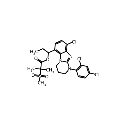 CCC(OC(=O)C(C)(C)S(C)(=O)=O)c1ccc(Cl)c2nc3n(c12)CCCN3c1ccc(Cl)cc1Cl